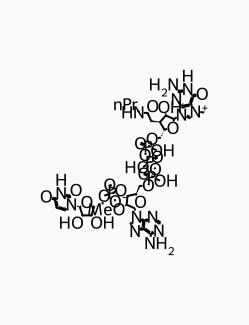 CCCNC(=O)C[C@@H]1[C@@H](COP(=O)(O)OP(=O)(O)OP(=O)(O)OC[C@H]2O[C@@H](n3cnc4c(N)ncnc43)[C@H](OC)[C@@H]2OP(=O)([O-])OC[C@H]2O[C@@H](n3ccc(=O)[nH]c3=O)[C@H](O)[C@@H]2O)OC(n2c[n+](C)c3c(=O)[nH]c(N)nc32)[C@@H]1O